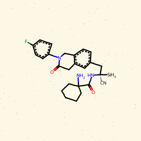 N#C[C@@]([SiH3])(Cc1ccc2c(c1)CC(=O)N(c1ccc(F)cc1)C2)NC(=O)C1(N)CCCCC1